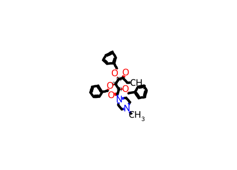 CCC(=O)[C@@H](OCc1ccccc1)[C@H](OCc1ccccc1)[C@@H](OCc1ccccc1)C(=O)N1CCN(C)CC1